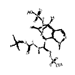 CN(NC(=O)OC(C)(C)C)/C(=N\OS(=O)(=O)O)[C@@H]1c2c(cnn2C)[C@@H]2CN1C(=O)N2OS(=O)(=O)O